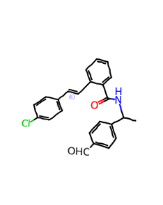 CC(NC(=O)c1ccccc1/C=C/c1ccc(Cl)cc1)c1ccc(C=O)cc1